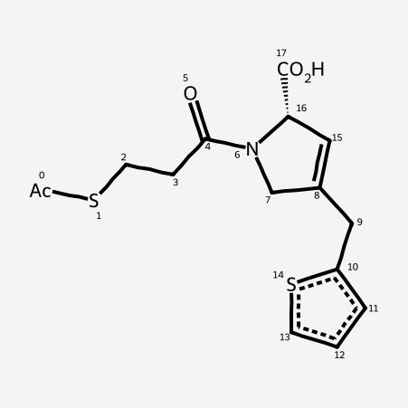 CC(=O)SCCC(=O)N1CC(Cc2cccs2)=C[C@H]1C(=O)O